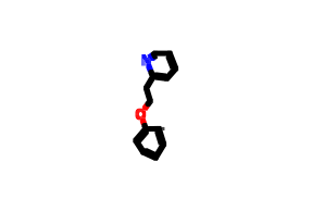 [c]1ccccc1OCCc1ccccn1